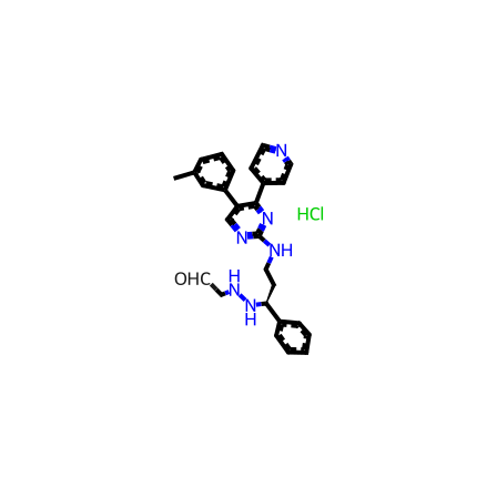 Cc1cccc(-c2cnc(NCC[C@H](NNCC=O)c3ccccc3)nc2-c2ccncc2)c1.Cl